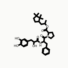 CC(CC1CCC(C)(C)C1(C)C)OC(=O)C1CCCN1C(=O)C(Cc1ccccc1)NC(=O)C(O)Cc1ccc(O)c(O)c1